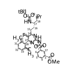 COC(=O)c1cccc(S(=O)(=O)Nc2nc(CC[C@@H](CC(C)C)NC(=O)OC(C)(C)C)c(F)c(-c3c(C)cccc3C)n2)c1